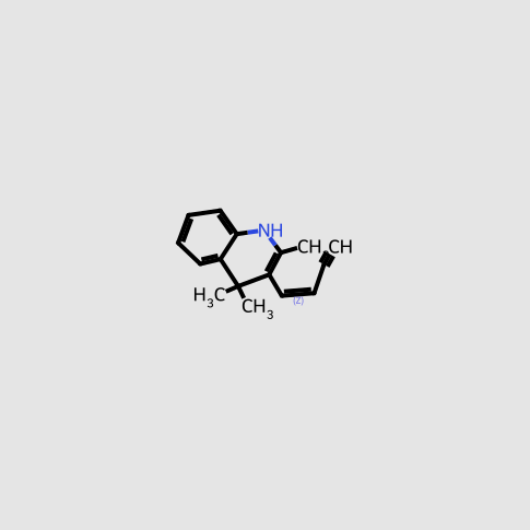 C#C/C=C\C1=C(C)Nc2ccccc2C1(C)C